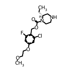 CC[C@@H]1CNCCN1C(=O)OCc1c(F)cc(OCCOC)cc1Cl